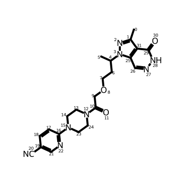 Cc1nn(C(C)CCOCC(=O)N2CCN(c3ccc(C#N)cn3)CC2)c2cn[nH]c(=O)c12